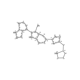 CC(C)c1c(-c2ccnc3[nH]ncc23)[nH]c2ccc(-c3noc(CC4CCCN4)n3)cc12